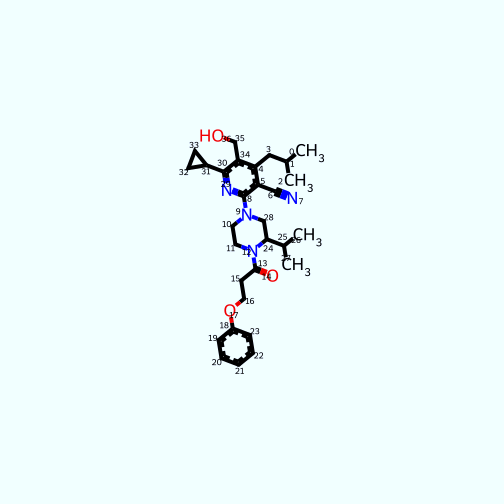 CC(C)Cc1c(C#N)c(N2CCN(C(=O)CCOc3ccccc3)C(C(C)C)C2)nc(C2CC2)c1CO